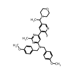 COc1ccc(CN(Cc2ccc(OC)cc2)c2cc(-c3cc(C(C)N4CCOCC4)cnc3F)nc(C)n2)cc1